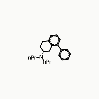 CCCN(CCC)[C@@H]1CCc2cccc(-c3ccccc3)c2C1